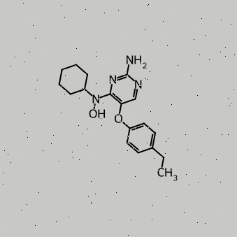 CCc1ccc(Oc2cnc(N)nc2N(O)C2CCCCC2)cc1